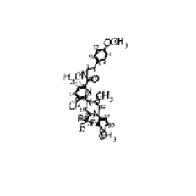 COc1ccc(CCN(C)C(=O)c2ccc(Cl)c(N3CC(C(F)(F)F)N(c4ccn(C)c4)CC3C)n2)cc1